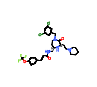 O=C(C=Cc1ccc(OC(F)(F)F)cc1)NC[C@@H]1CCN(Cc2cc(Cl)cc(Cl)c2)C(=O)[C@H](CCN2CCCCC2)N1